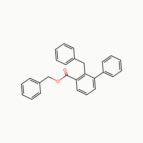 O=C(OCc1ccccc1)c1cccc(-c2ccccc2)c1Cc1ccccc1